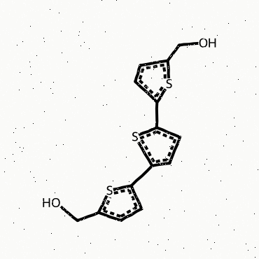 OCc1ccc(-c2ccc(-c3ccc(CO)s3)s2)s1